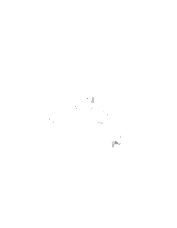 CCC(=O)O[C@H](CC(C)C)C(=O)N1CC2(CC2)C[C@H]1C(=O)NC(C)C(=O)[C@@H](OC(F)(F)F)[C@@H]1CCNC1=O